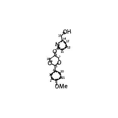 COc1ccc(C2OCC(Oc3cccc(CO)n3)CO2)cc1